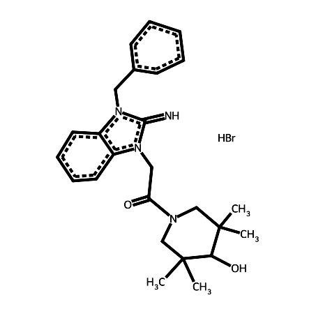 Br.CC1(C)CN(C(=O)Cn2c(=N)n(Cc3ccccc3)c3ccccc32)CC(C)(C)C1O